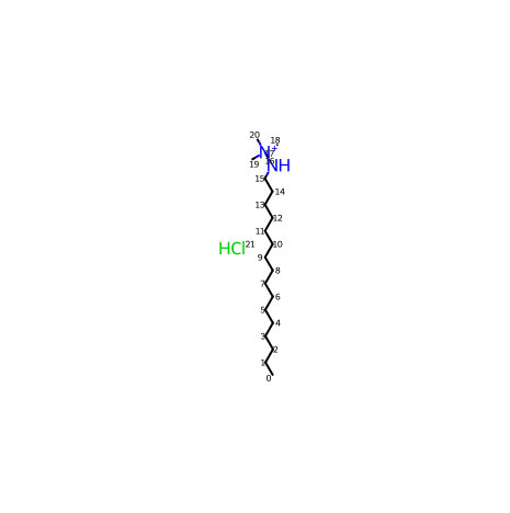 CCCCCCCCCCCCCCCCN[N+](C)(C)C.Cl